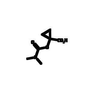 CN(C)C(=O)OC1(C(=O)O)CC1